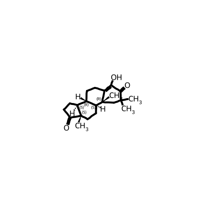 CC1(C)C[C@@]2(C)C(=C(O)C1=O)CC[C@@H]1[C@@H]2CC[C@]2(C)C(=O)CC[C@@H]12